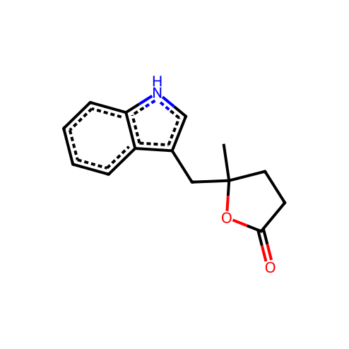 CC1(Cc2c[nH]c3ccccc23)CCC(=O)O1